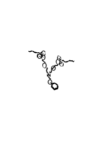 CCCCS(=O)(=O)OCCOCCN(CCOCCOS(=O)(=O)CCCC)CCOc1ccccc1